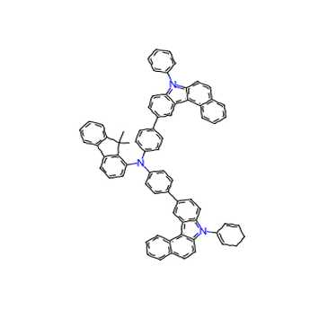 CC1(C)c2ccccc2-c2cccc(N(c3ccc(-c4ccc5c(c4)c4c6ccccc6ccc4n5C4=CCCC=C4)cc3)c3ccc(-c4ccc5c(c4)c4c6ccccc6ccc4n5-c4ccccc4)cc3)c21